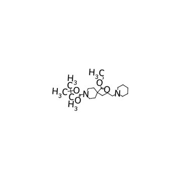 CCOC(=O)C1(CCCN2CCCCC2)CCN(C(=O)OC(C)(C)C)CC1